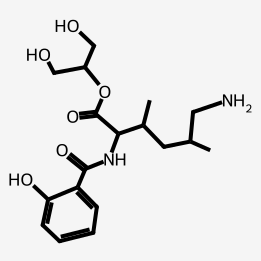 CC(CN)CC(C)C(NC(=O)c1ccccc1O)C(=O)OC(CO)CO